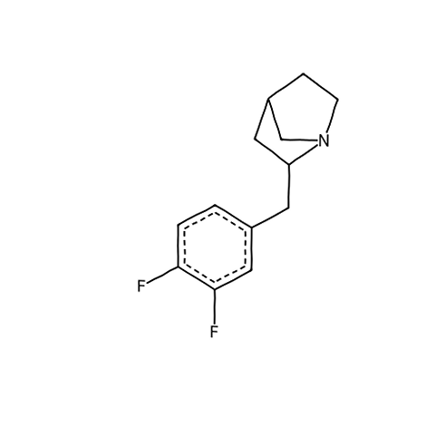 Fc1ccc(CC2CC3CCN2C3)cc1F